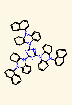 C1=CC2=C(CC1)N(c1cccc3ccccc13)c1ccccc1N2c1nc(N2C3=C(CCC=C3)N(c3cccc4ccccc34)c3ccccc32)nc(N2C3=C(CCC=C3)N(c3cccc4ccccc34)c3ccccc32)n1